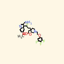 COc1ccc2ncc(CN)c([C@@H](F)CCC3(CC(=O)O)CCN(CCOc4cc(F)c(F)c(F)c4)CC3)c2c1